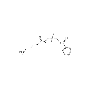 CC(C)(COC(=O)CCCCC(=O)O)COC(=O)c1ccccc1